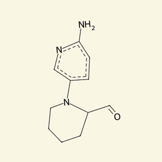 Nc1ccc(N2CCCCC2C=O)cn1